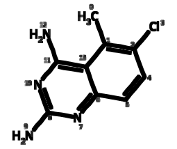 Cc1c(Cl)ccc2nc(N)nc(N)c12